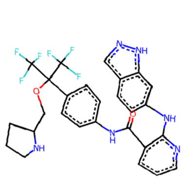 O=C(Nc1ccc(C(OCC2CCCN2)(C(F)(F)F)C(F)(F)F)cc1)c1cccnc1Nc1ccc2cn[nH]c2c1